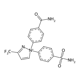 NC(=O)c1ccc([N+]2(c3ccc(S(N)(=O)=O)cc3)C=CC(C(F)(F)F)=N2)cc1